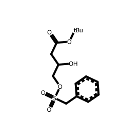 CC(C)(C)OC(=O)CC(O)COS(=O)(=O)Cc1ccccc1